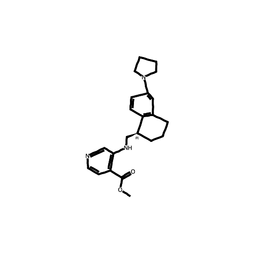 COC(=O)c1ccncc1NC[C@@H]1CCCc2cc(N3CCCC3)ccc21